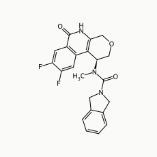 CN(C(=O)N1Cc2ccccc2C1)[C@@H]1COCc2[nH]c(=O)c3cc(F)c(F)cc3c21